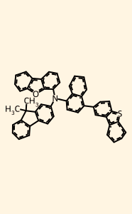 CC1(C)c2ccccc2-c2ccc(N(c3ccc(-c4ccc5sc6ccccc6c5c4)c4ccccc34)c3cccc4c3oc3ccccc34)cc21